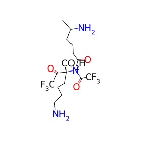 CC(N)CCCC(=O)N(C(=O)C(F)(F)F)[C@@](CCCCN)(C(=O)O)C(=O)C(F)(F)F